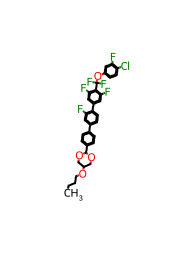 CCCCOC1COC(c2ccc(-c3ccc(-c4cc(F)c(C(F)(F)Oc5ccc(Cl)c(F)c5)c(F)c4)c(F)c3)cc2)OC1